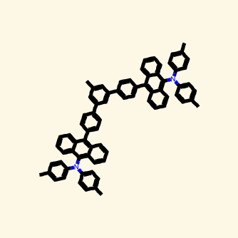 Cc1ccc(N(c2ccc(C)cc2)c2c3ccccc3c(-c3ccc(-c4cc(C)cc(-c5ccc(-c6c7ccccc7c(N(c7ccc(C)cc7)c7ccc(C)cc7)c7ccccc67)cc5)c4)cc3)c3ccccc23)cc1